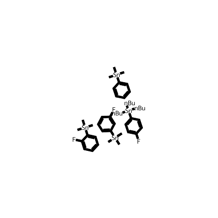 CCC[CH2][Sn]([CH2]CCC)([CH2]CCC)[c]1ccc(F)cc1.[CH3][Sn]([CH3])([CH3])[c]1cccc(F)c1.[CH3][Sn]([CH3])([CH3])[c]1ccccc1.[CH3][Sn]([CH3])([CH3])[c]1ccccc1F